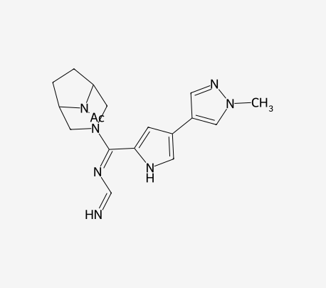 CC(=O)N1C2CCC1CN(/C(=N/C=N)c1cc(-c3cnn(C)c3)c[nH]1)C2